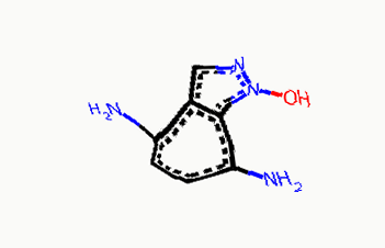 Nc1ccc(N)c2c1cnn2O